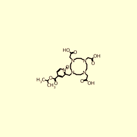 CC(C)OC(=O)c1cc[n+]([O-])c(CN2CCN(CC(=O)O)CCN(CC(=O)O)CCN(CC(=O)O)CC2)c1